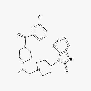 CC(CN1CCC(n2c(=O)[nH]c3ccccc32)CC1)C1CCN(C(=O)c2cccc(Cl)c2)CC1